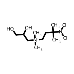 CC(C)(CC[N+](C)(C)CC(O)CO)N(Cl)Cl